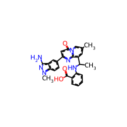 Cc1cc(C(C)Nc2ccccc2C(=O)O)c2nc(-c3ccc4c(c3)c(N)nn4C)cc(=O)n2c1